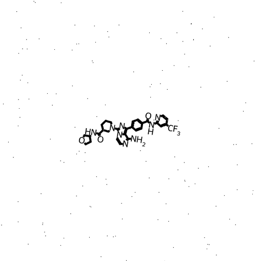 Nc1nccn2c(N3CCCC(C(=O)NC4CCOC4)C3)nc(-c3ccc(C(=O)Nc4cc(C(F)(F)F)ccn4)cc3)c12